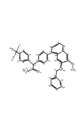 COc1cc2ncnc(-c3ccc(C(C(N)=O)c4ccc(C(F)(F)F)cc4)cc3)c2cc1OCc1cccnc1